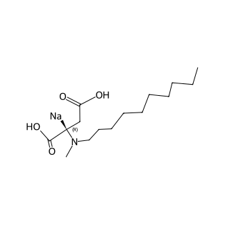 CCCCCCCCCCN(C)[C@@]([Na])(CC(=O)O)C(=O)O